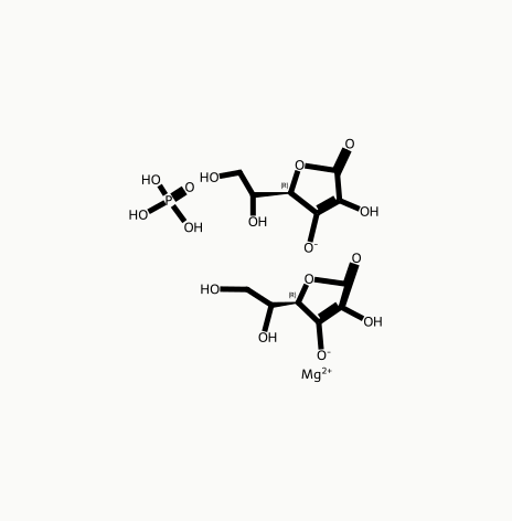 O=C1O[C@H](C(O)CO)C([O-])=C1O.O=C1O[C@H](C(O)CO)C([O-])=C1O.O=P(O)(O)O.[Mg+2]